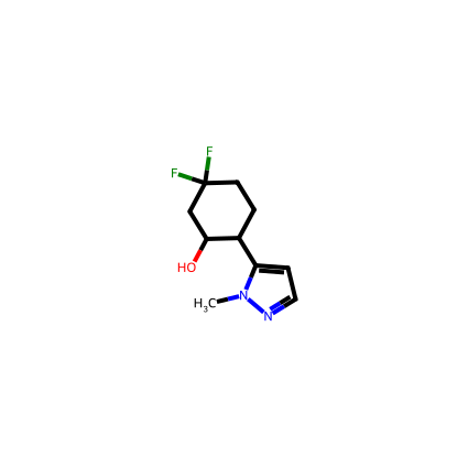 Cn1nccc1C1CCC(F)(F)CC1O